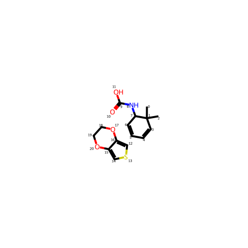 CC1(C)C=CC=CC1NC(=O)O.c1scc2c1OCCO2